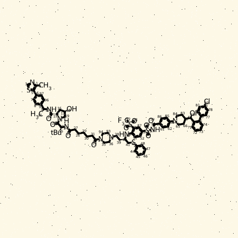 Cc1ncsc1-c1ccc([C@H](C)NC(=O)[C@@H]2C[C@@H](O)CN2C(=O)[C@@H](NC(=O)CCCCCC(=O)N2CCN(CC[C@H](CSc3ccccc3)Nc3ccc(S(=O)(=O)NC(=O)c4ccc(N5CCC([C@@H](O)c6ccccc6-c6ccc(Cl)cc6)CC5)cc4)cc3S(=O)(=O)C(F)(F)F)CC2)C(C)(C)C)cc1